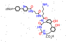 CCCCCCCCCc1ccc(-c2ccc(C(=O)NCCC(=O)N[C@@H](CCCCN)C(=O)N(C)[C@@H]3C(=O)N[C@@H](C)C(=O)N[C@H](C(=O)O)Cc4ccc(O)c(c4)-c4cc3ccc4O)cn2)cc1